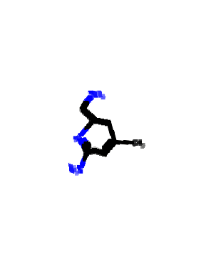 Cc1cc(N)nc(CN)c1